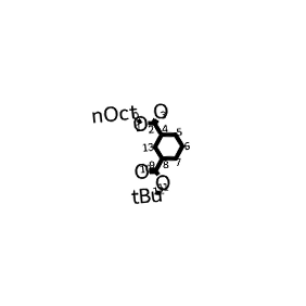 CCCCCCCCOC(=O)C1CCCC(C(=O)OC(C)(C)C)C1